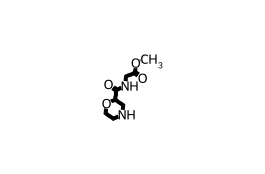 COC(=O)CNC(=O)C1CNCCO1